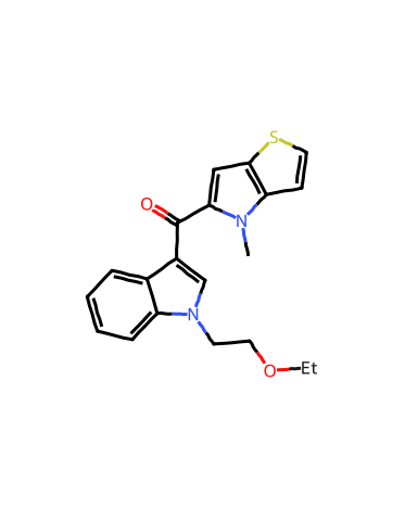 CCOCCn1cc(C(=O)c2cc3sccc3n2C)c2ccccc21